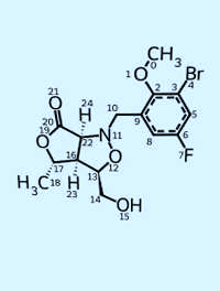 COc1c(Br)cc(F)cc1CN1O[C@@H](CO)[C@H]2[C@H](C)OC(=O)[C@H]21